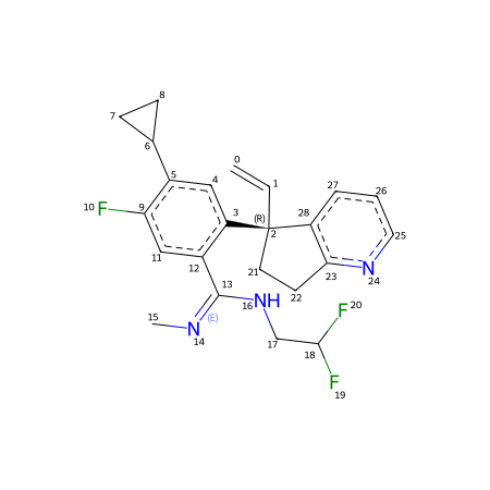 C=C[C@@]1(c2cc(C3CC3)c(F)cc2/C(=N\C)NCC(F)F)CCc2ncccc21